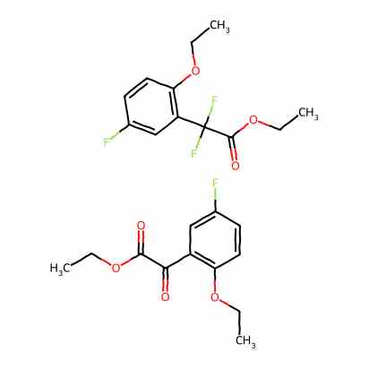 CCOC(=O)C(=O)c1cc(F)ccc1OCC.CCOC(=O)C(F)(F)c1cc(F)ccc1OCC